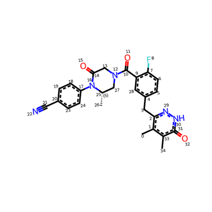 Cc1c(Cc2ccc(F)c(C(=O)N3CC(=O)N(c4ccc(C#N)cc4)[C@@H](C)C3)c2)n[nH]c(=O)c1C